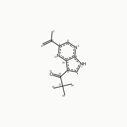 C=C(C)c1cnc2[nH]cc(C(=O)C(C)(C)C)c2n1